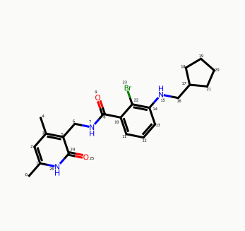 Cc1cc(C)c(CNC(=O)c2cccc(NCC3CCCC3)c2Br)c(=O)[nH]1